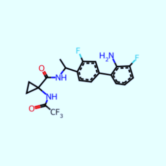 CC(NC(=O)C1(NC(=O)C(F)(F)F)CC1)c1ccc(-c2cccc(F)c2N)cc1F